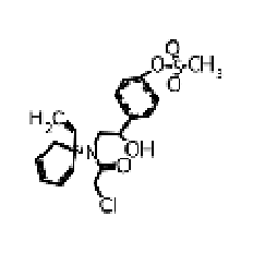 C=C[C@@]1(N(CC(O)c2ccc(OS(C)(=O)=O)cc2)C(=O)CCl)C=CC=CC1